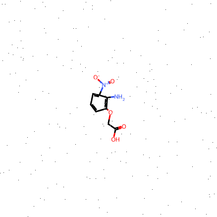 Nc1c(OCC(=O)O)cccc1[N+](=O)[O-]